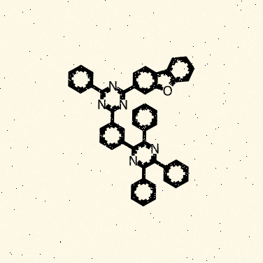 c1ccc(-c2nc(-c3cccc(-c4nc(-c5ccccc5)c(-c5ccccc5)nc4-c4ccccc4)c3)nc(-c3ccc4c(c3)oc3ccccc34)n2)cc1